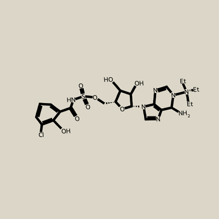 CC[N+](CC)(CC)N1C=Nc2c(ncn2[C@@H]2O[C@H](COS(=O)(=O)NC(=O)c3cccc(Cl)c3O)C(O)C2O)C1N